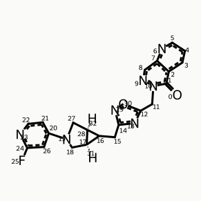 O=c1c2cccnc2cnn1Cc1nc(CC2[C@H]3CN(c4ccnc(F)c4)C[C@@H]23)no1